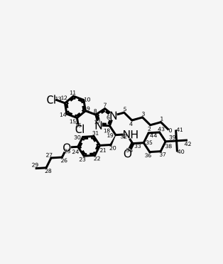 CCCCCCn1cc(-c2ccc(Cl)cc2Cl)nc1[C@H](Cc1ccc(OCCCC)cc1)NC(=O)C1CCC(C(C)(C)C)CC1